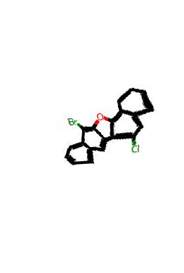 Clc1cc2ccccc2c2oc3c(Br)c4ccccc4cc3c12